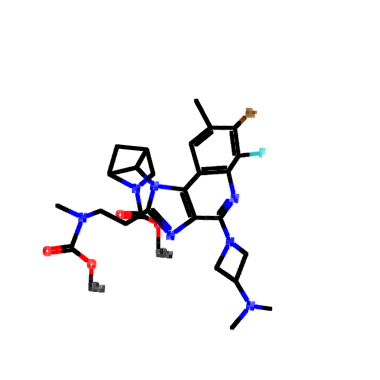 Cc1cc2c(nc(N3CC(N(C)C)C3)c3nc(CCN(C)C(=O)OC(C)(C)C)n(C4C5CC4N(C(=O)OC(C)(C)C)C5)c32)c(F)c1Br